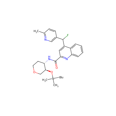 Cc1ccc(C(F)c2cc(C(=O)N[C@H]3CCOC[C@@H]3O[Si](C)(C)C(C)(C)C)nc3ccccc23)cn1